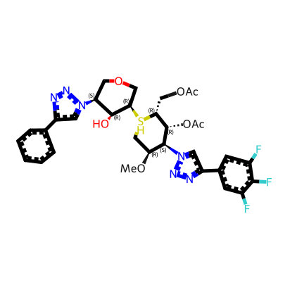 CO[C@H]1C[SH]([C@@H]2COC[C@H](n3cc(-c4ccccc4)nn3)[C@H]2O)[C@H](COC(C)=O)[C@H](OC(C)=O)[C@H]1n1cc(-c2cc(F)c(F)c(F)c2)nn1